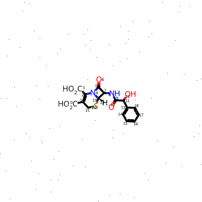 O=C(O)C1=C(C(=O)O)N2C(=O)C(NC(=O)C(O)c3ccccc3)[C@@H]2SC1